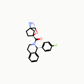 N[C@]12CC[C@](C(=O)N3CCc4ccccc4[C@H]3c3ccc(F)cc3)(C1)OC2